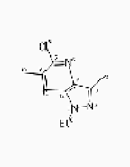 CCn1nc(C)c2nc(Cl)c(C)cc21